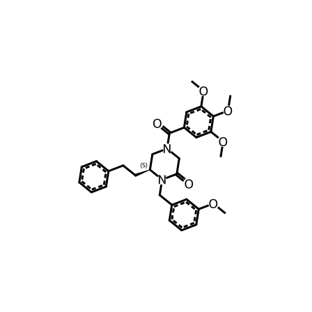 COc1cccc(CN2C(=O)CN(C(=O)c3cc(OC)c(OC)c(OC)c3)C[C@@H]2CCc2ccccc2)c1